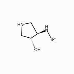 CC(C)N[C@@H]1CNC[C@H]1O